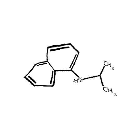 CC(C)[SiH]c1cccc2ccccc12